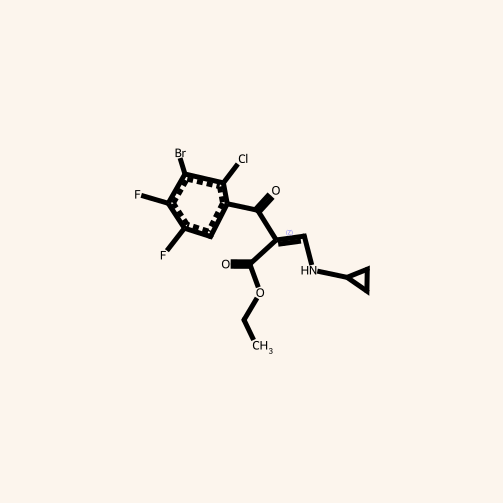 CCOC(=O)/C(=C\NC1CC1)C(=O)c1cc(F)c(F)c(Br)c1Cl